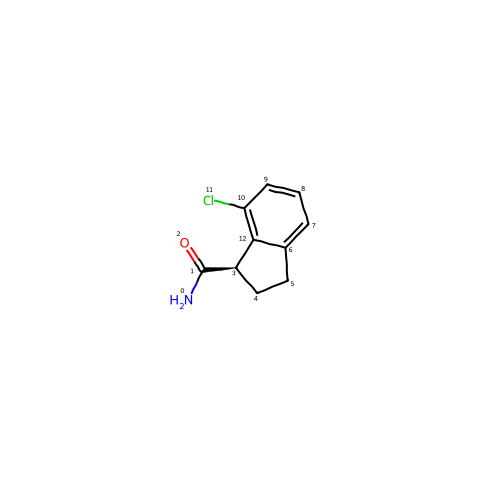 NC(=O)[C@@H]1CCc2cccc(Cl)c21